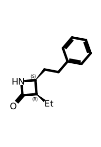 CC[C@H]1C(=O)N[C@H]1CCc1ccccc1